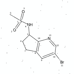 CS(=O)(=O)NC1CCc2cc(Br)cnc21